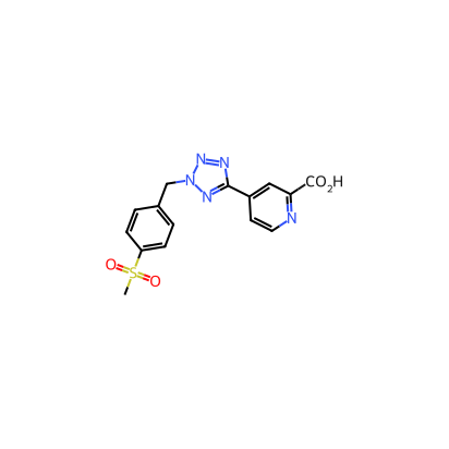 CS(=O)(=O)c1ccc(Cn2nnc(-c3ccnc(C(=O)O)c3)n2)cc1